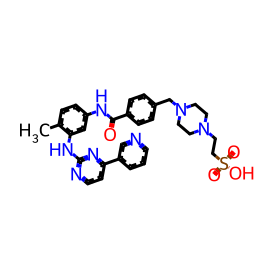 Cc1ccc(NC(=O)c2ccc(CN3CCN(CCS(=O)(=O)O)CC3)cc2)cc1Nc1nccc(-c2cccnc2)n1